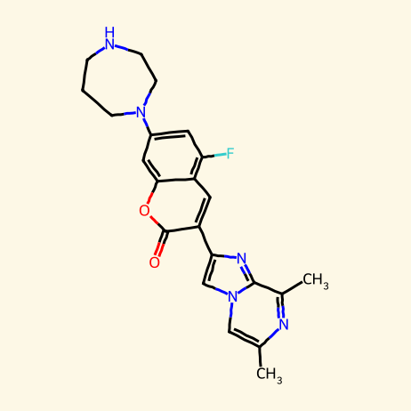 Cc1cn2cc(-c3cc4c(F)cc(N5CCCNCC5)cc4oc3=O)nc2c(C)n1